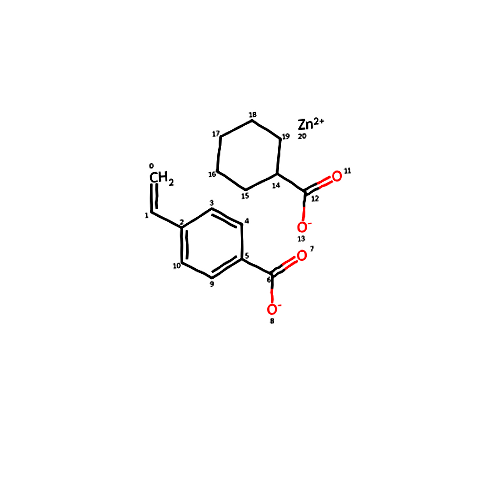 C=Cc1ccc(C(=O)[O-])cc1.O=C([O-])C1CCCCC1.[Zn+2]